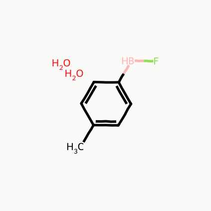 Cc1ccc(BF)cc1.O.O